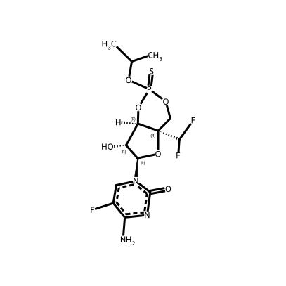 CC(C)OP1(=S)OC[C@@]2(C(F)F)O[C@@H](n3cc(F)c(N)nc3=O)[C@H](O)[C@H]2O1